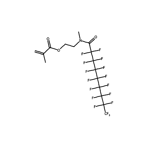 C=C(C)C(=O)OCCN(C)C(=O)C(F)(F)C(F)(F)C(F)(F)C(F)(F)C(F)(F)C(F)(F)C(F)(F)C(F)(F)F